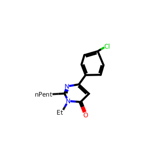 CCCCCc1nc(-c2ccc(Cl)cc2)cc(=O)n1CC